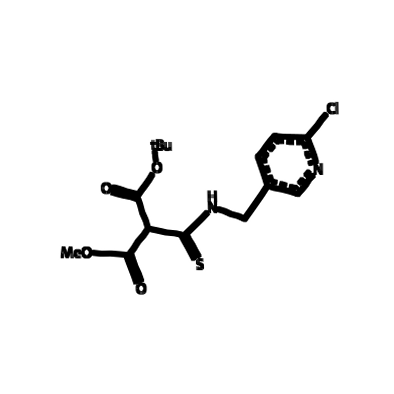 COC(=O)C(C(=O)OC(C)(C)C)C(=S)NCc1ccc(Cl)nc1